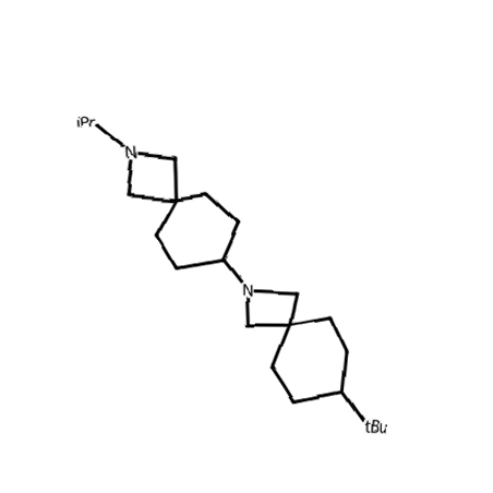 CC(C)N1CC2(CCC(N3CC4(CCC(C(C)(C)C)CC4)C3)CC2)C1